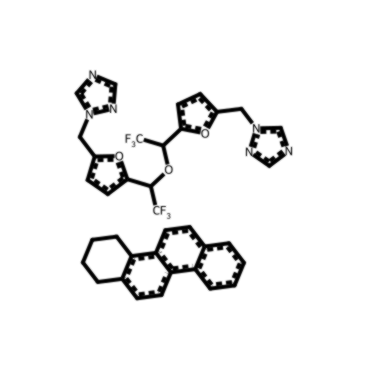 FC(F)(F)C(OC(c1ccc(Cn2cncn2)o1)C(F)(F)F)c1ccc(Cn2cncn2)o1.c1ccc2c(c1)ccc1c3c(ccc12)CCCC3